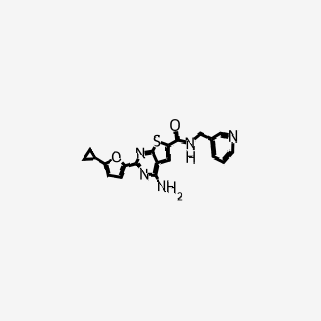 Nc1nc(-c2ccc(C3CC3)o2)nc2sc(C(=O)NCc3cccnc3)cc12